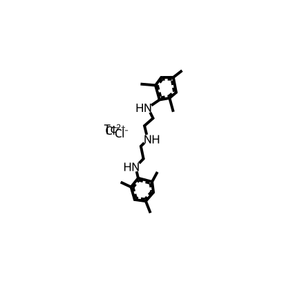 Cc1cc(C)c(NCCNCCNc2c(C)cc(C)cc2C)c(C)c1.[Cl-].[Cl-].[Tc+2]